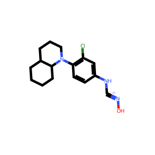 O/N=C/Nc1ccc(N2CCCC3CCCCC32)c(Cl)c1